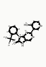 O=c1[nH]c2cnc(-c3cnccc3O)nc2n1-c1ccccc1C(F)(F)F